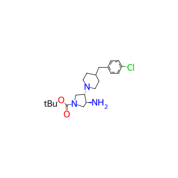 CC(C)(C)OC(=O)N1C[C@H](N)[C@@H](N2CCC(Cc3ccc(Cl)cc3)CC2)C1